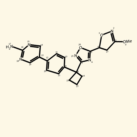 COC1=NOC(c2nc(C3(c4ccc(-c5cnc(N)nc5)cc4)CCC3)no2)C1